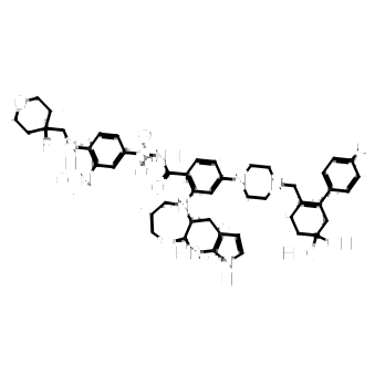 CC1(C)CCC(CN2CCN(c3ccc(C(=O)NS(=O)(=O)c4ccc(NCC5(F)CCOCC5)c([N+](=O)[O-])c4)c(N4CCCOC5Nc6[nH]ccc6CC54)c3)CC2)=C(c2ccc(Cl)cc2)C1